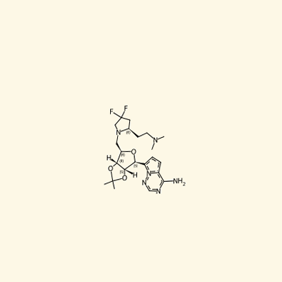 CN(C)CC[C@@H]1CC(F)(F)CN1C[C@H]1O[C@@H](c2ccc3c(N)ncnn23)[C@@H]2OC(C)(C)O[C@@H]21